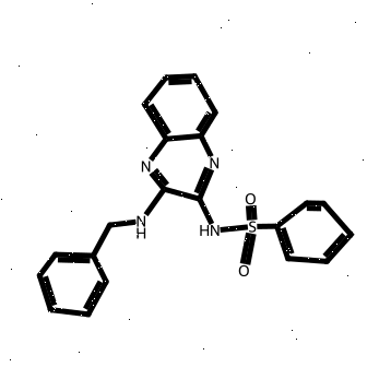 O=S(=O)(Nc1nc2ccccc2nc1NCc1ccccc1)c1ccccc1